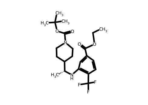 CCOC(=O)c1ccc(C(F)(F)F)c(N[C@H](C)C2CCN(C(=O)OC(C)(C)C)CC2)c1